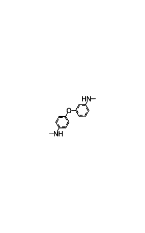 CNc1ccc(Oc2cccc(NC)c2)cc1